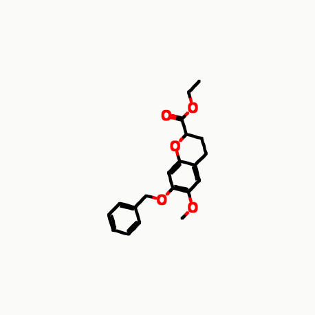 CCOC(=O)C1CCc2cc(OC)c(OCc3ccccc3)cc2O1